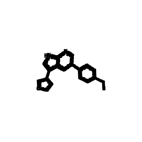 CCc1ccc(-c2cnc3[nH]cc(-c4ccoc4)c3c2)cc1